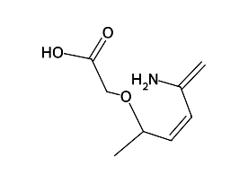 C=C(N)/C=C\C(C)OCC(=O)O